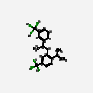 CC(C)c1ccc(C(F)(F)F)cc1CC(C)c1cccc(C(F)(F)F)c1